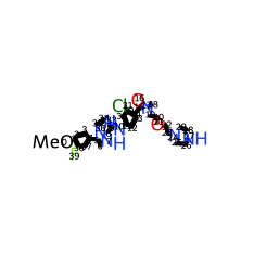 COc1ccc(-c2cnc3c(Nc4ccc(C(=O)N(C)CCOCCN5CCNCC5)c(Cl)c4)nccn23)cc1F